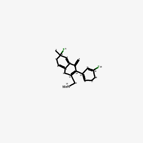 C=C1C2=CC(C)(F)CC=C2CC(CNC)=C1C1=CCCC(F)=C1